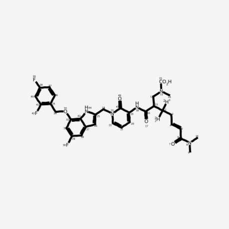 [2H]C([2H])(C/C=C/C(=O)N(C)C)C(CN(C)C(=O)O)C(=O)Nc1cccn(Cc2cc3cc(F)cc(OCc4ccc(F)cc4F)c3[nH]2)c1=O